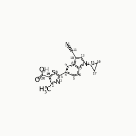 Cc1nc(-c2ccc3c(c2)c(C#N)cn3C2CC2)sc1C(=O)O